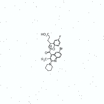 Cc1c(N2CCCCC2)nc2ccc(Br)cc2c1C(=O)NCC(CCC(=O)O)c1cc(F)ccc1Cl